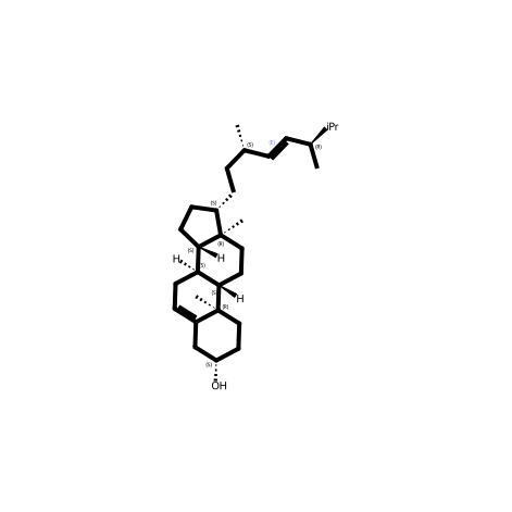 CC(C)[C@@H](C)/C=C/[C@@H](C)CC[C@H]1CC[C@H]2[C@@H]3CC=C4C[C@@H](O)CC[C@]4(C)[C@H]3CC[C@]12C